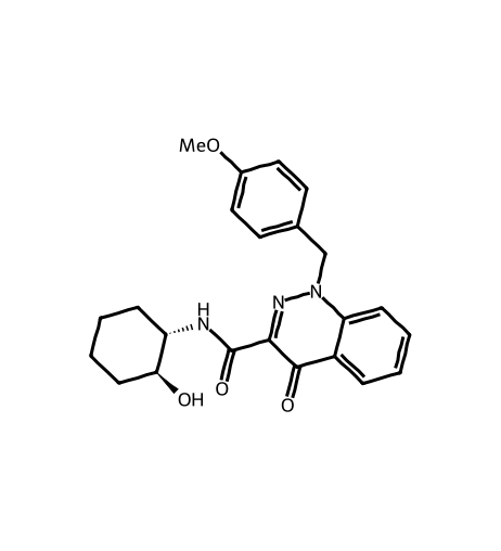 COc1ccc(Cn2nc(C(=O)N[C@H]3CCCC[C@@H]3O)c(=O)c3ccccc32)cc1